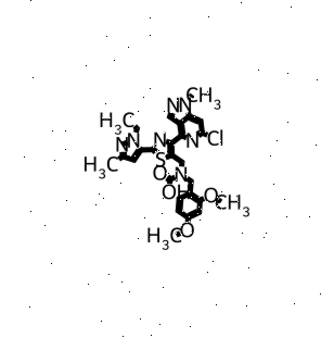 CCn1nc(C)cc1-c1nc(-c2nc(Cl)cc3c2cnn3C)c(CN(Cc2ccc(OC)cc2OC)C(=O)O)s1